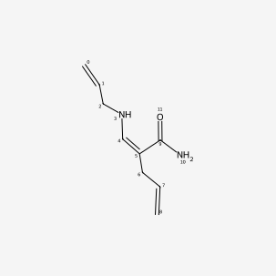 C=CCNC=C(CC=C)C(N)=O